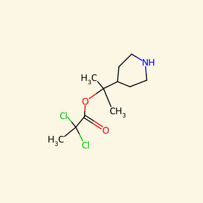 CC(Cl)(Cl)C(=O)OC(C)(C)C1CCNCC1